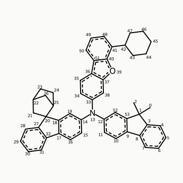 CC1(C)c2ccccc2-c2ccc(N(c3ccc4c(c3)C3(CC5CCC3C5)c3ccccc3-4)c3ccc4c(c3)oc3c(C5CCCCC5)cccc34)cc21